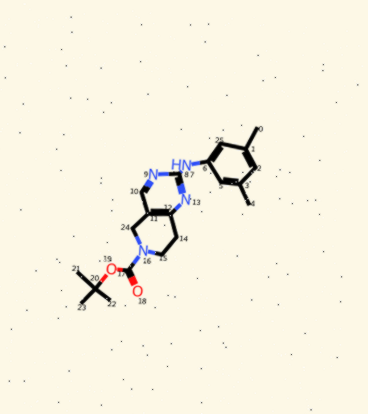 Cc1cc(C)cc(Nc2ncc3c(n2)CCN(C(=O)OC(C)(C)C)C3)c1